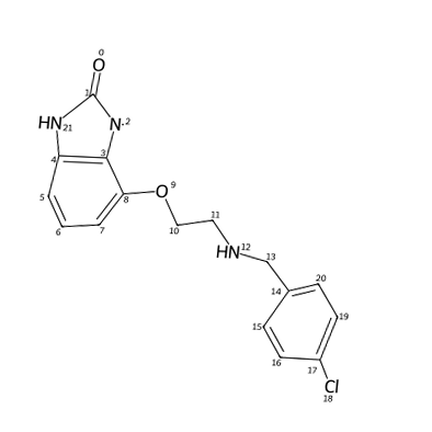 O=C1[N]c2c(cccc2OCCNCc2ccc(Cl)cc2)N1